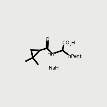 CCCCCC(NC(=O)C1CC1(C)C)C(=O)O.[NaH]